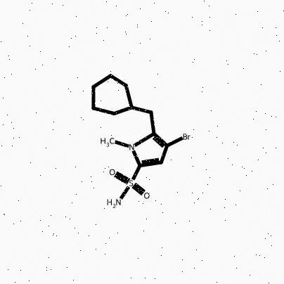 Cn1c(S(N)(=O)=O)cc(Br)c1CC1CCCCC1